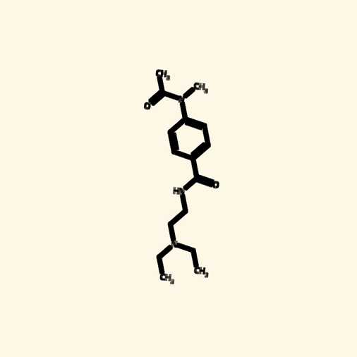 CCN(CC)CCNC(=O)c1ccc(N(C)C(C)=O)cc1